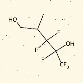 CC(CO)C(F)(F)C(O)(F)C(F)(F)F